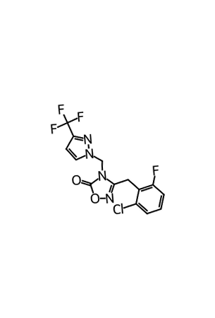 O=c1onc(Cc2c(F)cccc2Cl)n1Cn1ccc(C(F)(F)F)n1